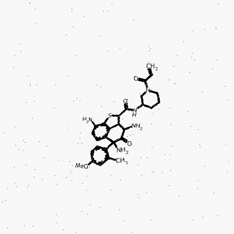 C=CC(=O)N1CCCC(NC(=O)C2Sc3c(N)ccc4c3C2C(N)C(=O)C4(N)c2ccc(OC)cc2C)C1